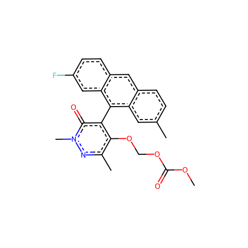 COC(=O)OCOc1c(C)nn(C)c(=O)c1-c1c2cc(C)ccc2cc2ccc(F)cc12